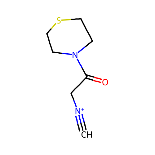 C#[N+]CC(=O)N1CCSCC1